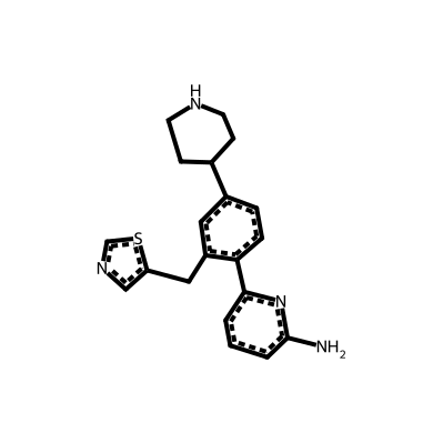 Nc1cccc(-c2ccc(C3CCNCC3)cc2Cc2cncs2)n1